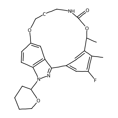 Cc1c(F)cc2cc1C(C)OC(=O)NCCCOc1ccc3c(c1)c-2nn3C1CCCCO1